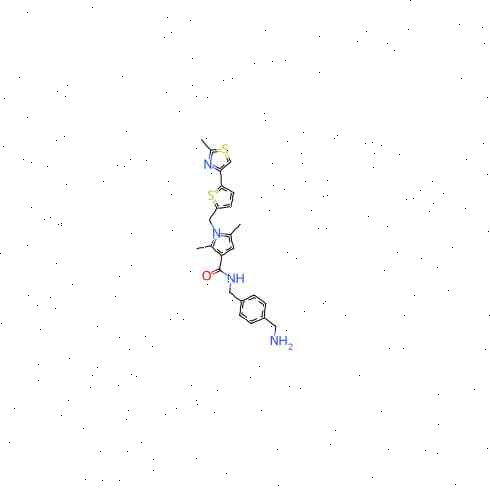 Cc1nc(-c2ccc(Cn3c(C)cc(C(=O)NCc4ccc(CN)cc4)c3C)s2)cs1